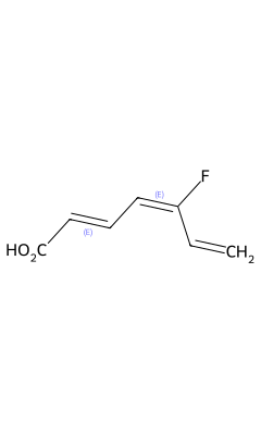 C=C/C(F)=C\C=C\C(=O)O